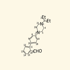 CCC(CC)N1CCN(c2ccc(-c3ccccc3C=O)cc2)CC1